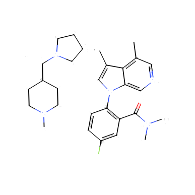 CC(=O)N1CCC([C@H](C)N2CC[C@H](Cc3cn(-c4ccc(F)cc4C(=O)N(C)C(C)C)c4cncc(C)c34)C2)CC1